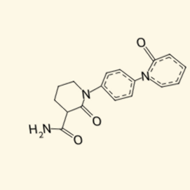 NC(=O)C1CCCN(c2ccc(-n3ccccc3=O)cc2)C1=O